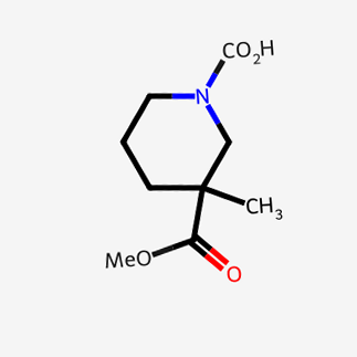 COC(=O)C1(C)CCCN(C(=O)O)C1